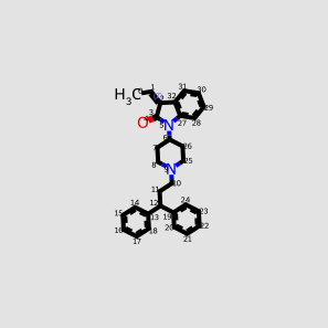 C/C=C1\C(=O)N(C2CCN(CCC(c3ccccc3)c3ccccc3)CC2)c2ccccc21